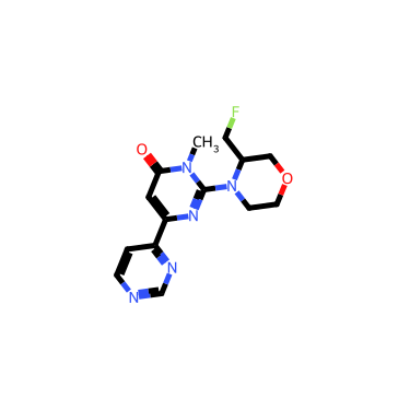 Cn1c(N2CCOCC2CF)nc(-c2ccncn2)cc1=O